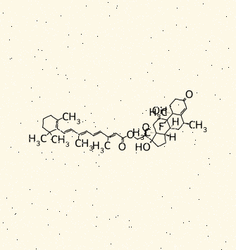 CC1=C(/C=C/C(C)=C/C=C/C(C)=C/C(=O)OCC(=O)[C@@]2(O)CC[C@H]3[C@@H]4C[C@H](C)C5=CC(=O)CC[C@]5(C)[C@@]4(F)[C@@H](O)C[C@@]32C)C(C)(C)CCC1